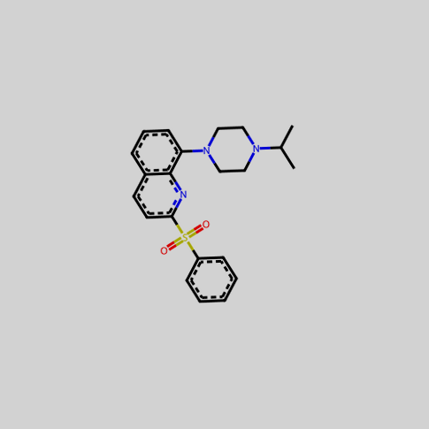 CC(C)N1CCN(c2cccc3ccc(S(=O)(=O)c4ccccc4)nc23)CC1